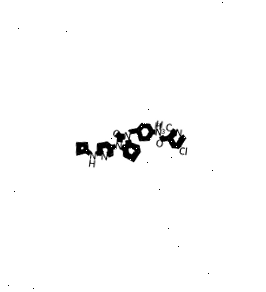 Cc1ncc(Cl)cc1C(=O)NC1CCC(Cn2c(=O)n(-c3ccc(NC4CCC4)nc3)c3ccccc32)CC1